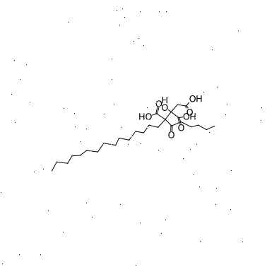 CCCCCCCCCCCCCCCC(C(=O)O)(C(=O)CCCCC)C(O)(CC(=O)O)C(=O)O